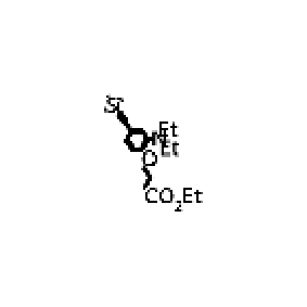 CCOC(=O)CCCOc1ccc(C#C[Si](C)(C)C)cc1N(CC)CC